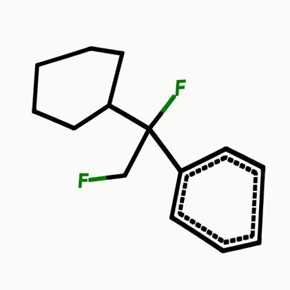 FCC(F)(c1ccccc1)C1CCCCC1